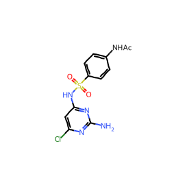 CC(=O)Nc1ccc(S(=O)(=O)Nc2cc(Cl)nc(N)n2)cc1